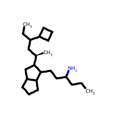 CCCC(N)CCC1C2CCCC2CC1[C@H](C)CC(CC)C1CCC1